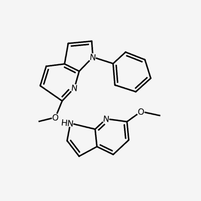 COc1ccc2cc[nH]c2n1.COc1ccc2ccn(-c3ccccc3)c2n1